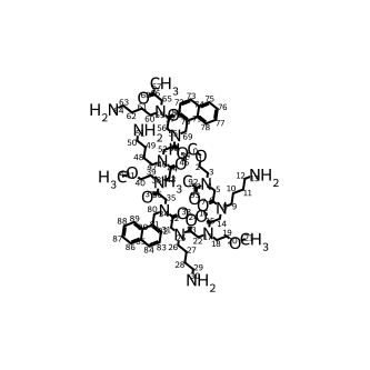 COCCN(CC(=O)N(CCCCN)CC(=O)N(CCOC)CC(=O)N(CCCCN)CC(=O)N(CC(=O)N(CCOC)CC(=O)N(CCCCN)CC(=O)N(CC(=O)N(CCCCN)CC(C)=O)Cc1cccc2ccccc12)Cc1cccc2ccccc12)C(C)=O